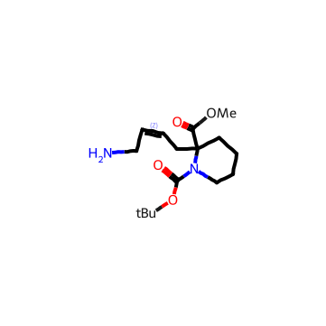 COC(=O)C1(C/C=C\CN)CCCCN1C(=O)OC(C)(C)C